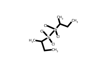 CCC(C)[Si](Cl)(Cl)[Si](Cl)(Cl)C(C)CC